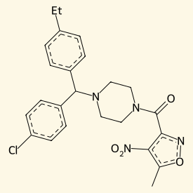 CCc1ccc(C(c2ccc(Cl)cc2)N2CCN(C(=O)c3noc(C)c3[N+](=O)[O-])CC2)cc1